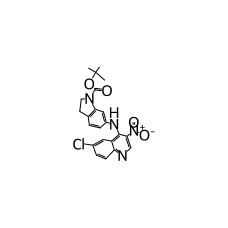 CC(C)(C)OC(=O)N1CCc2ccc(Nc3c([N+](=O)[O-])cnc4ccc(Cl)cc34)cc21